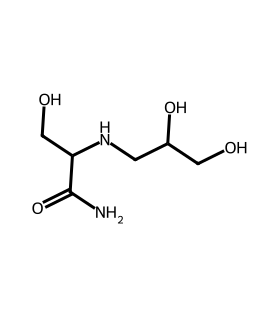 NC(=O)C(CO)NCC(O)CO